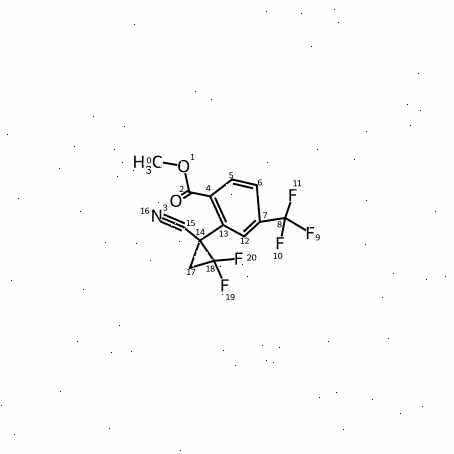 COC(=O)c1ccc(C(F)(F)F)cc1C1(C#N)CC1(F)F